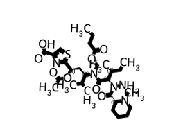 CCCC(=O)OCN(C(=O)[C@H]([C@@H](C)CC)N(N)C(=O)[C@H]1CCCCN1C)[C@H](C[C@@H](OC(C)=O)c1nc(C(=O)O)cs1)C(C)C